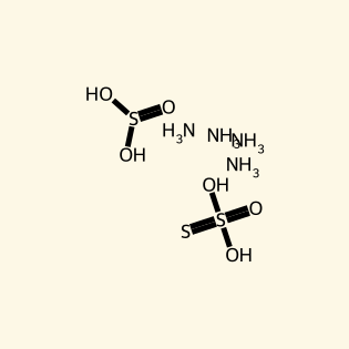 N.N.N.N.O=S(O)(O)=S.O=S(O)O